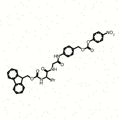 CC(C)C(NC(=O)OCC1c2ccccc2-c2ccccc21)C(=O)NCC(=O)Nc1ccc(COC(=O)Oc2ccc([N+](=O)[O-])cc2)cc1